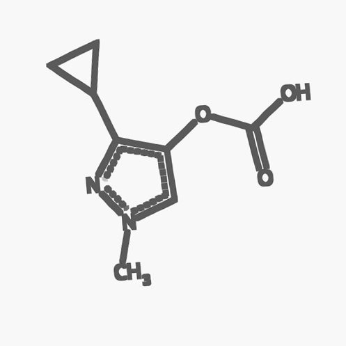 Cn1cc(OC(=O)O)c(C2CC2)n1